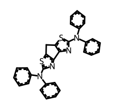 c1ccc(N(c2ccccc2)c2nc3c(s2)Cc2sc(N(c4ccccc4)c4ccccc4)nc2-3)cc1